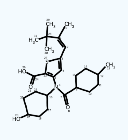 C/C(=C/c1cc(N(C(=O)C2CCC(C)CC2)C2CCC(O)CC2)c(C(=O)O)s1)C(C)(C)C